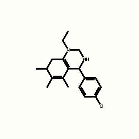 CCN1CNC(c2ccc(Cl)cc2)C2=C1CC(C)C(C)=C2C